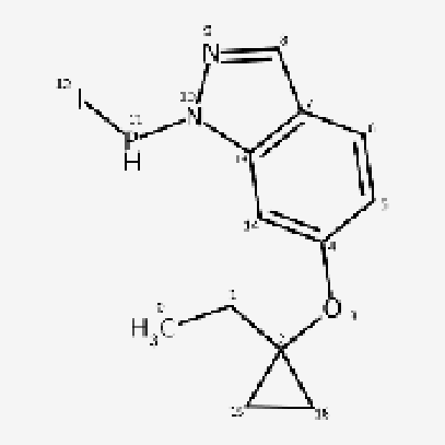 CCC1(Oc2ccc3cnn(PI)c3c2)CC1